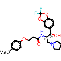 COc1ccc(OCCC(=O)N[C@H](CN2CCCC2)[C@H](O)c2ccc3c(c2)OC(F)(F)O3)cc1